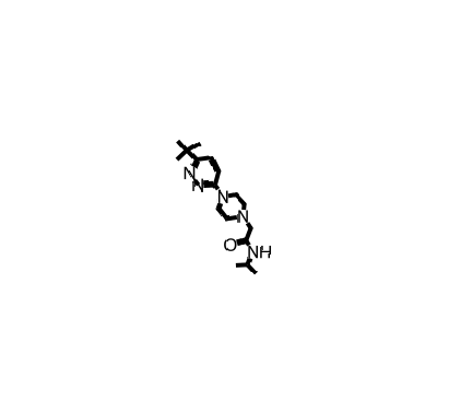 CC(C)NC(=O)CN1CCN(c2ccc(C(C)(C)C)nn2)CC1